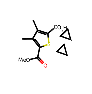 C1CC1.C1CC1.COC(=O)c1sc(C(=O)O)c(C)c1C